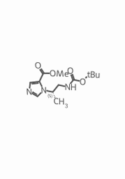 COC(=O)c1cncn1[C@@H](C)CNC(=O)OC(C)(C)C